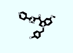 COc1ccc2c(c1)c(C(=O)c1noc(-c3ccncc3)n1)cn2Cc1ccc(Cl)cc1